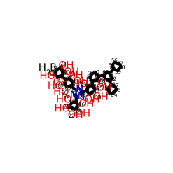 Bc1c(O)c(O)c(-c2c(O)c(O)c(-c3nc(-c4c(O)c(O)c(O)c(O)c4O)nc(-c4c(O)c(O)c(O)c(-c5cccc6c5oc5c(-c7ccccc7)cc(-c7ccccc7)cc56)c4O)n3)c(O)c2O)c(O)c1O